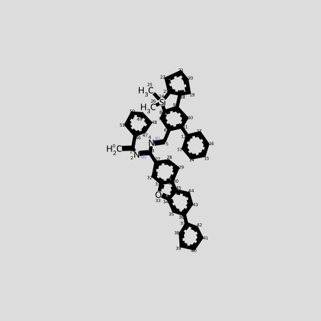 C=C(/N=C(\N=C\c1cc2c(cc1-c1ccccc1)-c1ccccc1[Si]2(C)C)c1ccc2c(c1)oc1cc(-c3ccccc3)ccc12)c1ccccc1